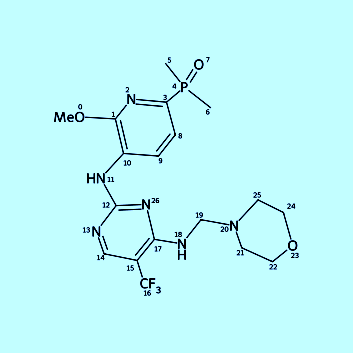 COc1nc(P(C)(C)=O)ccc1Nc1ncc(C(F)(F)F)c(NCN2CCOCC2)n1